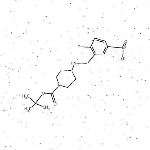 CC(C)(C)OC(=O)N1CCC(NCc2cc([N+](=O)[O-])ccc2F)CC1